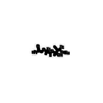 CCCC(=O)COC(C)(CC)C(C)OC(C)(O)C(C)C(CC)OC(C)(C)C